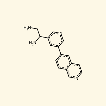 NCC(N)c1cncc(-c2ccc3cnccc3c2)c1